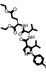 CCOC(=O)CC[C@@H](NC(=O)[C@@H](NC(=O)c1cnn(-c2ccc(F)cc2)c1C(C)C)C(C)C)C(=O)OCC